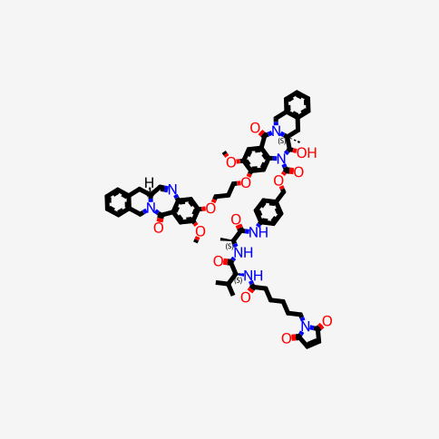 COc1cc2c(cc1OCCCOc1cc3c(cc1OC)C(=O)N1Cc4ccccc4C[C@@]1(C)C(O)N3C(=O)OCc1ccc(NC(=O)[C@H](C)NC(=O)[C@@H](NC(=O)CCCCCN3C(=O)C=CC3=O)C(C)C)cc1)N=C[C@@H]1Cc3ccccc3CN1C2=O